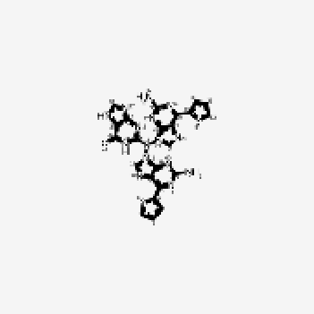 Nc1nc(-c2cccs2)c2ncn(N(c3nc4nc[nH]c4c(=O)[nH]3)n3cnc4c(-c5cccs5)nc(N)nc43)c2n1